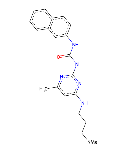 CNCCCNc1cc(C)nc(NC(=O)Nc2ccc3ccccc3c2)n1